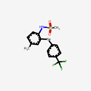 Cc1ccc(NS(C)(=O)=O)c([Se]c2ccc(C(F)(F)F)cc2)c1